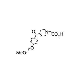 COCCOc1ccc(C(=O)C2CCN(CC(=O)O)CC2)cc1